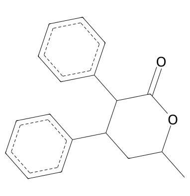 CC1CC(c2ccccc2)C(c2ccccc2)C(=O)O1